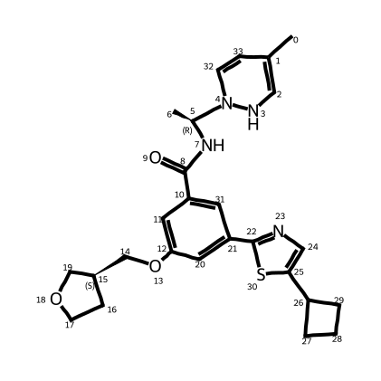 CC1=CNN([C@H](C)NC(=O)c2cc(OC[C@H]3CCOC3)cc(-c3ncc(C4CCC4)s3)c2)C=C1